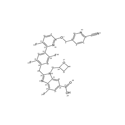 N#Cc1ccc(COc2ccc(F)c(-c3cc(F)c(Cc4nc5c(F)cc(C(=O)O)cc5n4CC4CCO4)cc3F)n2)cn1